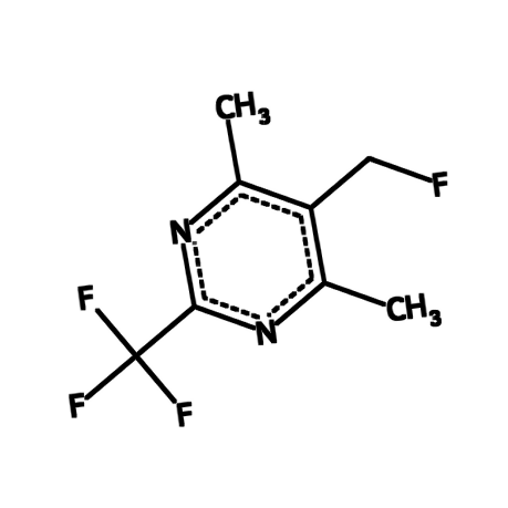 Cc1nc(C(F)(F)F)nc(C)c1CF